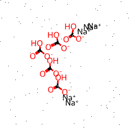 O=C([O-])O.O=C([O-])O.O=C([O-])O.O=C([O-])O.O=C([O-])O.[Na+].[Na+].[Na+].[Na+].[Na+]